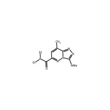 CCN(CC)C(=O)c1cc(C)c2nnc(NC)n2n1